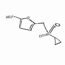 O=C(O)c1ccc(CS(=O)(=O)C2CC2)o1